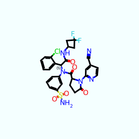 N#Cc1ccnc(N2C(=O)CCC2C(=O)N(c2cccc(S(N)(=O)=O)c2)[C@H](C(=O)NC2CC(F)(F)C2)c2ccccc2Cl)c1